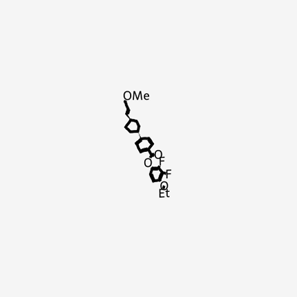 CCOc1ccc(OC(=O)c2ccc([C@H]3CC[C@H](C=CCOC)CC3)cc2)c(F)c1F